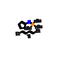 CCC=CC=CCC.CCCCP(CCCC)(CCCC)=NC1=CC=CC1.[Ti]